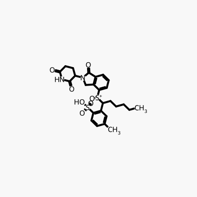 CCCCCC(c1cc(C)ccc1S(=O)(=O)O)[S+]([O-])c1cccc2c1CN(C1CCC(=O)NC1=O)C2=O